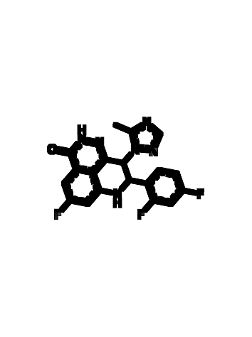 Cc1ncnn1C1c2n[nH]c(=O)c3cc(F)cc(c23)NC1c1ccc(F)cc1F